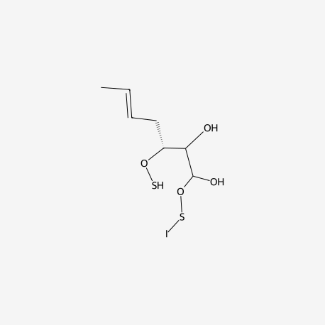 CC=CC[C@@H](OS)C(O)C(O)OSI